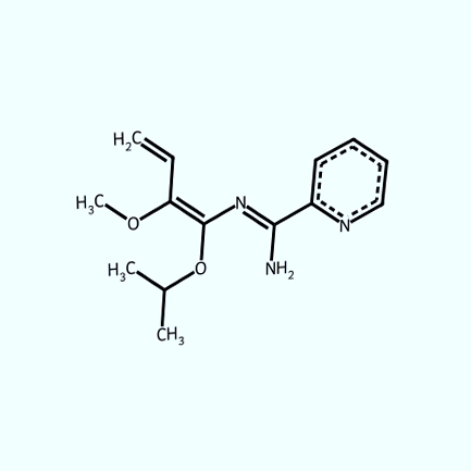 C=C/C(OC)=C(\N=C(/N)c1ccccn1)OC(C)C